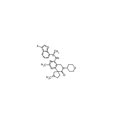 Cc1nc(N[C@H](C)c2cccc3c(F)coc23)c2c(n1)C1(CCN(C)C1)C(=O)N(C1CCOCC1)C2